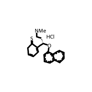 CNCC[C@H](Oc1cccc2ccccc12)C1=CC=CCC1=S.Cl